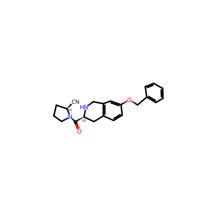 N#C[C@@H]1CCCN1C(=O)[C@@H]1Cc2ccc(OCc3ccccc3)cc2CN1